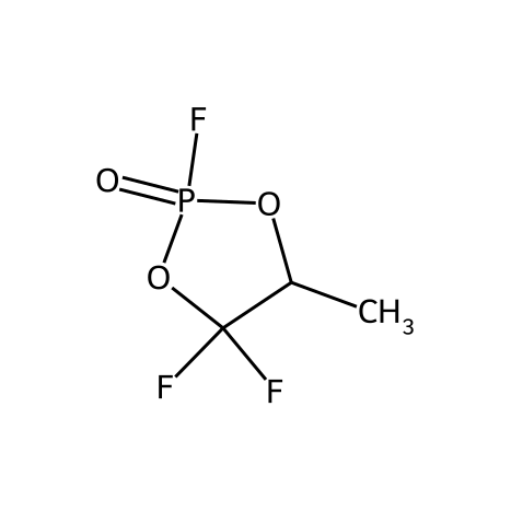 CC1OP(=O)(F)OC1(F)F